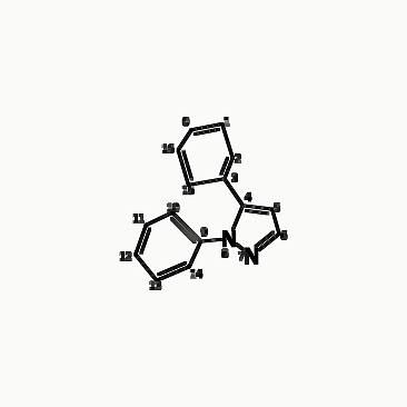 c1ccc(-c2ccnn2-c2ccccc2)cc1